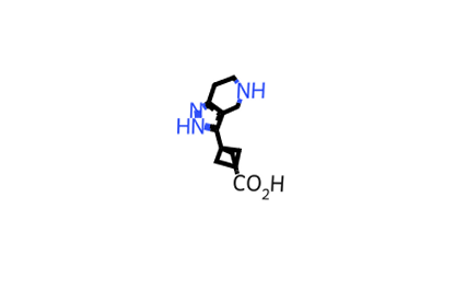 O=C(O)C12CC(c3[nH]nc4c3CNCC4)(C1)C2